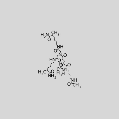 CC(=O)NCCCC[C@H](NC(C)=O)C(=O)NCCC(=O)N(CC(=O)NCCCCC(C)C(N)=O)CC(=O)NCCCCC(C)C(N)=O